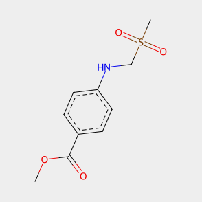 COC(=O)c1ccc(NCS(C)(=O)=O)cc1